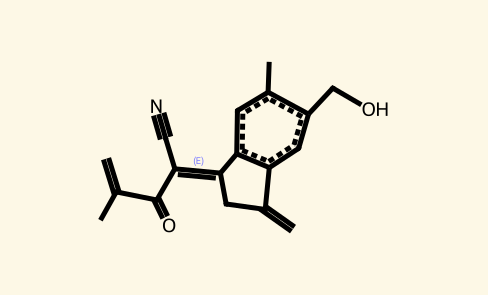 C=C(C)C(=O)/C(C#N)=C1\CC(=C)c2cc(CO)c(C)cc21